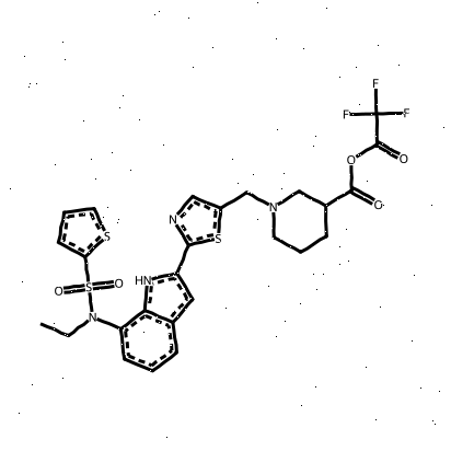 CCN(c1cccc2cc(-c3ncc(CN4CCCC(C(=O)OC(=O)C(F)(F)F)C4)s3)[nH]c12)S(=O)(=O)c1cccs1